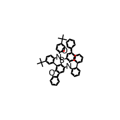 CC(C)(C)c1ccc(N2B3c4c(cc5c(oc6ccccc65)c4-c4cc(C(C)(C)C)ccc42)N(c2ccccc2-c2ccccc2)c2ccc4c(oc5ccccc54)c23)cc1